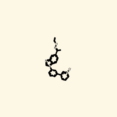 CCON=C(C)c1ccc2c(c1)ncn2-c1cccc(-c2ccc[n+]([O-])c2)c1